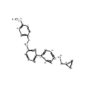 O=C(O)c1ccc(COc2cccc(-c3ccc(OCC4CC4)cc3)c2)cc1